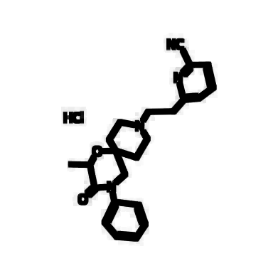 CC1OC2(CCN(CCc3cccc(C#N)n3)CC2)CN(c2ccccc2)C1=O.Cl